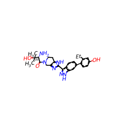 CCc1cc(O)ccc1-c1ccc2c(-c3nc4c([nH]3)CCN(C(=O)[C@@H](N)C(C)(C)O)C4)n[nH]c2c1